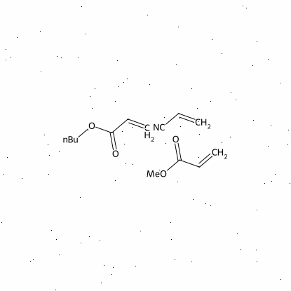 C=CC#N.C=CC(=O)OC.C=CC(=O)OCCCC